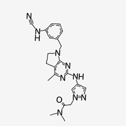 Cc1nc(Nc2cnn(CC(=O)N(C)C)c2)nc2c1CCN2Cc1cccc(NC#N)c1